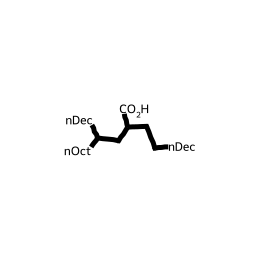 CCCCCCCCCCCCC(CC(CCCCCCCC)CCCCCCCCCC)C(=O)O